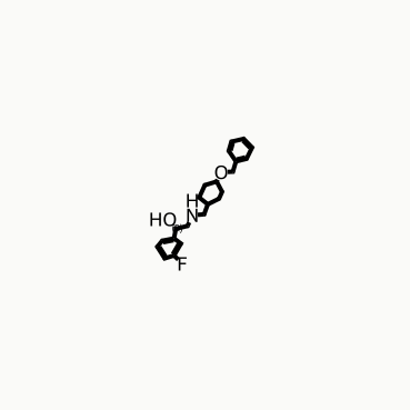 O[C@@H](CNCC1CCC(OCc2ccccc2)CC1)c1cccc(F)c1